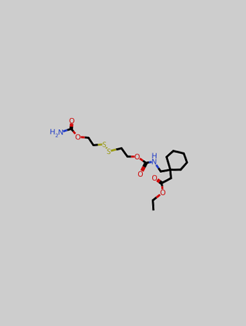 CCOC(=O)CC1(CNC(=O)OCCSSCCOC(N)=O)CCCCC1